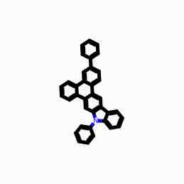 c1ccc(-c2ccc3c(c2)c2ccccc2c2cc4c(cc32)c2ccccc2n4-c2ccccc2)cc1